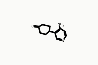 Nc1ccncc1C1CCC(=O)CC1